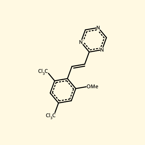 COc1cc(C(Cl)(Cl)Cl)cc(C(Cl)(Cl)Cl)c1C=Cc1ncncn1